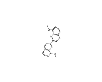 COc1cccc2ccc(-c3ccc4cccc(OC)c4n3)nc12